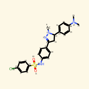 CC(=O)N1N=C(c2ccc(NS(=O)(=O)c3ccc(Cl)cc3)cc2)CC1c1ccc(N(C)C)cc1